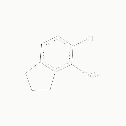 COc1c(Cl)ccc2c1CCC2